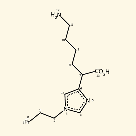 CC(C)CCn1cnc(C(CCCCN)C(=O)O)c1